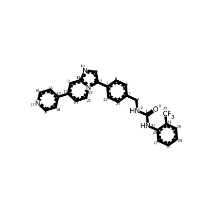 O=C(NCc1ccc(-c2cnc3cc(-c4ccncc4)ccn23)cc1)Nc1ccccc1C(F)(F)F